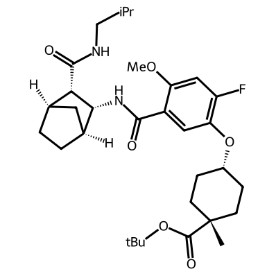 COc1cc(F)c(O[C@H]2CC[C@@](C)(C(=O)OC(C)(C)C)CC2)cc1C(=O)N[C@@H]1[C@H]2CC[C@H](C2)[C@@H]1C(=O)NCC(C)C